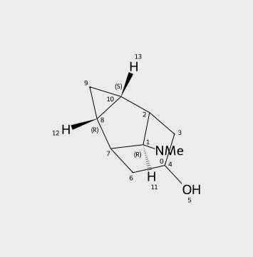 CN[C@@H]1C2CC(O)CC1[C@@H]1C[C@H]21